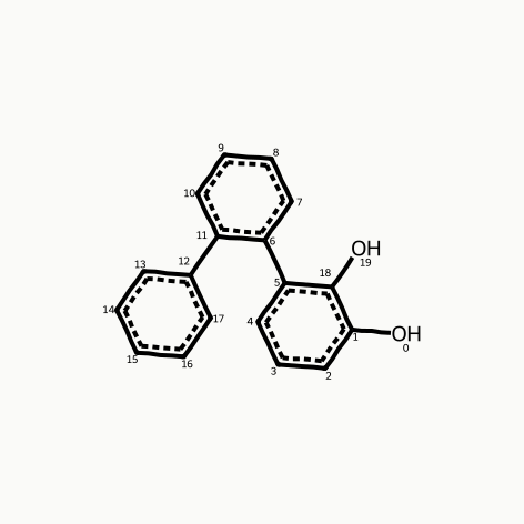 Oc1cccc(-c2ccccc2-c2ccccc2)c1O